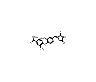 COC(=O)c1ccc(Oc2ccc(/C=C3\SC(=O)NC3=O)cc2OC)c(C(F)(F)F)c1